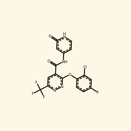 O=C(Nc1cc[nH]c(=O)c1)c1cc(C(F)(F)F)nnc1Oc1ccc(F)cc1Cl